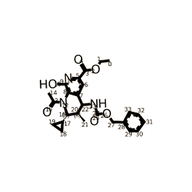 CCOC(=O)c1cc2c(c(O)n1)N(C(C)=O)[C@@H](C1CC1)[C@H](C)C2NC(=O)OCc1ccccc1